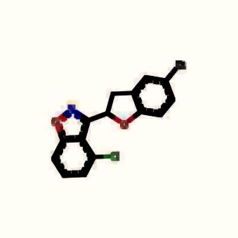 CCc1ccc2c(c1)CC(c1noc3cccc(Cl)c13)O2